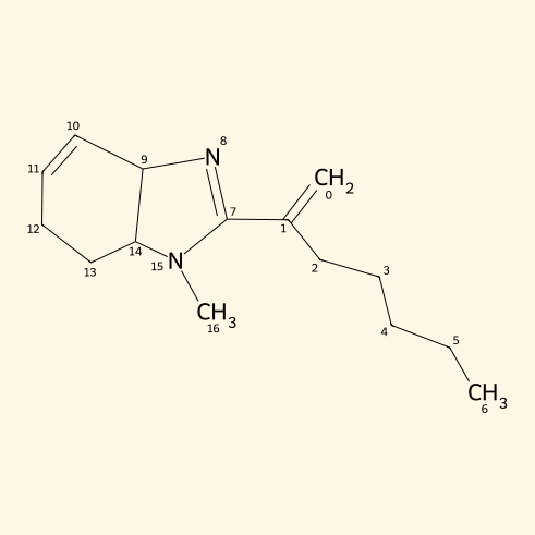 C=C(CCCCC)C1=NC2C=CCCC2N1C